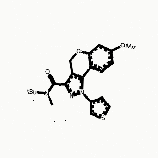 COc1ccc2c(c1)OCc1c(C(=O)N(C)C(C)(C)C)nn(-c3ccsc3)c1-2